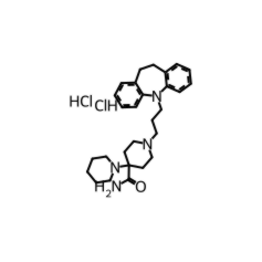 Cl.Cl.NC(=O)C1(N2CCCCC2)CCN(CCCN2c3ccccc3CCc3ccccc32)CC1